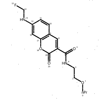 CCCOCCNC(=O)c1cc2ccc(NCF)cc2oc1=O